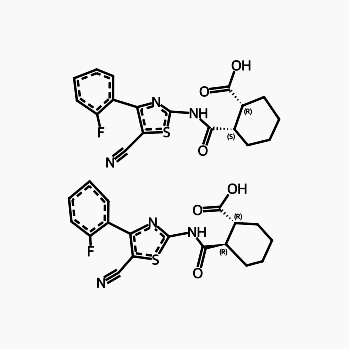 N#Cc1sc(NC(=O)[C@@H]2CCCC[C@H]2C(=O)O)nc1-c1ccccc1F.N#Cc1sc(NC(=O)[C@H]2CCCC[C@H]2C(=O)O)nc1-c1ccccc1F